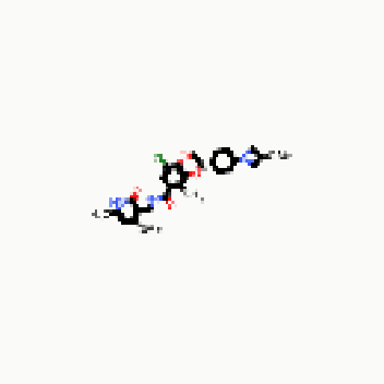 COc1cc(C)[nH]c(=O)c1CNC(=O)c1cc(Cl)c2c(c1C)O[C@@H](C1CCC(N3CC(OC)C3)CC1)CO2